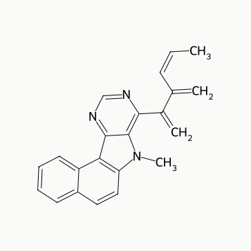 C=C(/C=C\C)C(=C)c1ncnc2c3c4ccccc4ccc3n(C)c12